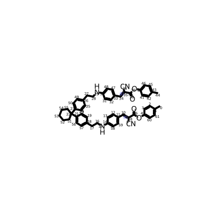 Cc1ccc(OC(=O)/C(C#N)=C/c2ccc(NCCc3ccc(C4(c5ccc(CCNc6ccc(/C=C(\C#N)C(=O)Oc7ccc(C)cc7)cc6)cc5)CCCCC4)cc3)cc2)cc1